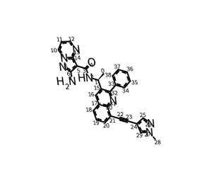 C[C@H](NC(=O)c1c(N)nn2cccnc12)c1cc2cccc(C#Cc3cnn(C)c3)c2nc1-c1ccccc1